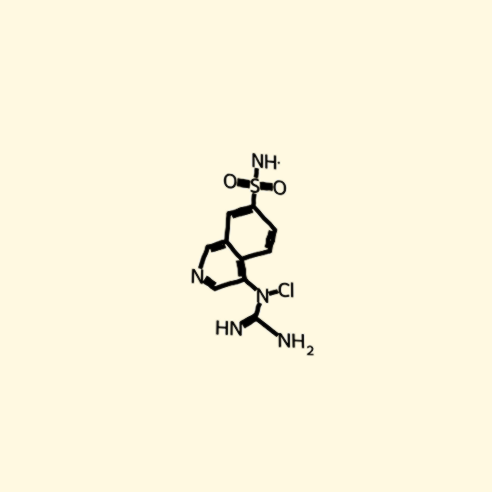 [NH]S(=O)(=O)c1ccc2c(N(Cl)C(=N)N)cncc2c1